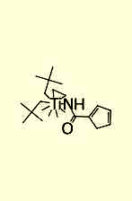 CC(C)(C)[CH2][Ti]1([CH3])([CH3])([CH3])([CH3])([CH2]C(C)(C)C)([NH]C(=O)C2=CC=CC2)[CH2][CH2]1